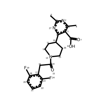 Cc1nc(C)c(C(=O)O)c(C2CCN(C(=O)Cc3c(F)cccc3F)CC2)n1